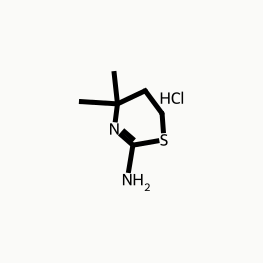 CC1(C)CCSC(N)=N1.Cl